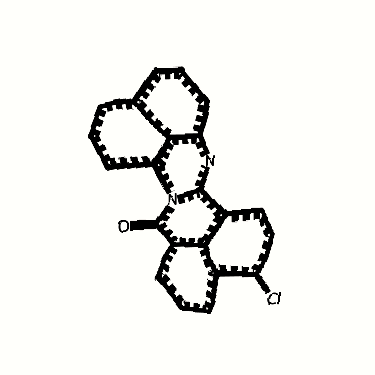 O=c1c2cccc3c(Cl)ccc(c32)c2nc3cccc4cccc(c43)n12